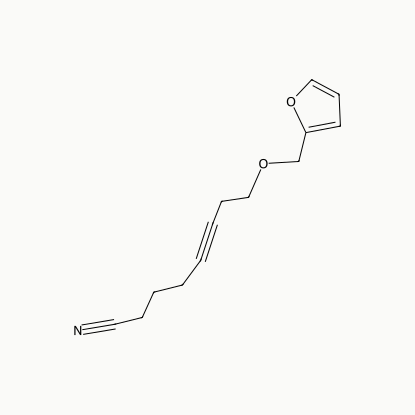 N#CCCCC#CCCOCc1ccco1